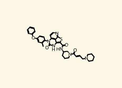 Cc1cc(Oc2ccccc2)ccc1N1C(=O)Nc2c(C(=O)NC3CCCN(C(=O)C=CCN4CCCCC4)C3)sc3nccc1c23